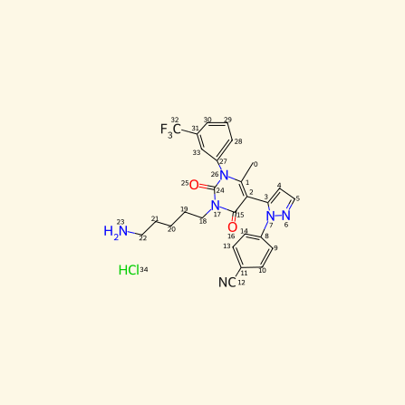 Cc1c(-c2ccnn2-c2ccc(C#N)cc2)c(=O)n(CCCCCN)c(=O)n1-c1cccc(C(F)(F)F)c1.Cl